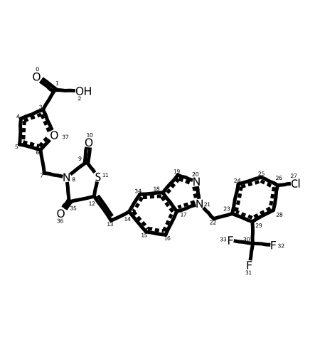 O=C(O)c1ccc(CN2C(=O)SC(=Cc3ccc4c(cnn4Cc4ccc(Cl)cc4C(F)(F)F)c3)C2=O)o1